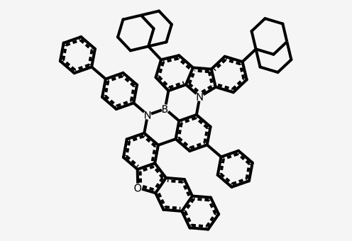 c1ccc(-c2ccc(N3B4c5c(cc(-c6ccccc6)cc5-n5c6ccc(C78CCCC(CCC7)C8)cc6c6cc(C78CCCC(CCC7)C8)cc4c65)-c4c3ccc3oc5cc6ccccc6cc5c43)cc2)cc1